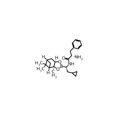 CC1(C)[C@@H]2C[C@H]3OB([C@H](CC4CC4)NC(=O)[C@@H](N)Cc4ccccc4)O[C@@]3(C)[C@H]1C2